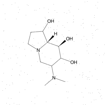 CN(C)C1CN2CCC(O)[C@@H]2[C@@H](O)C1O